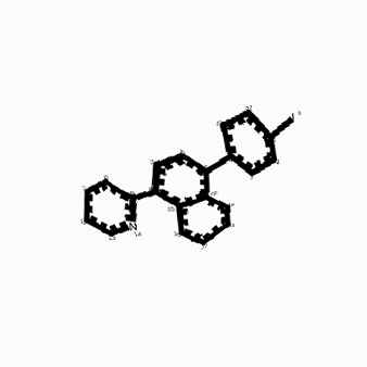 Ic1ccc(-c2ccc(-c3ccccn3)c3ccccc23)cc1